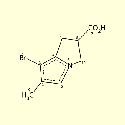 Cc1cn2c(c1Br)CC(C(=O)O)C2